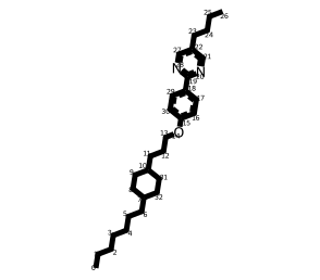 CCCCCCCC1CCC(CCCOc2ccc(-c3ncc(CCCC)cn3)cc2)CC1